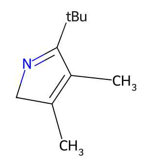 CC1=C(C)C(C(C)(C)C)=NC1